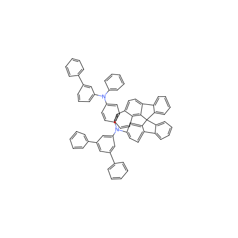 c1ccc(-c2cccc(N(c3ccccc3)c3ccc(N(c4cc(-c5ccccc5)cc(-c5ccccc5)c4)c4ccc5c(c4)C4(c6ccccc6-5)c5ccccc5-c5ccc6ccccc6c54)cc3)c2)cc1